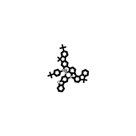 CC(C)(C)c1ccc(Nc2cc3c(cc2-c2ccc4c5c6c(ccc5n5c4c2Bc2cc4oc7ccccc7c4cc2-5)C(C)(C)c2ccccc2-6)-c2ccc(C(C)(C)C)cc2C3(C)C)cc1